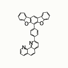 c1cnc2c(c1)ccc1ccc(-c3ccc(-c4c5oc6ccccc6c5cc5c4oc4ccccc45)cc3)nc12